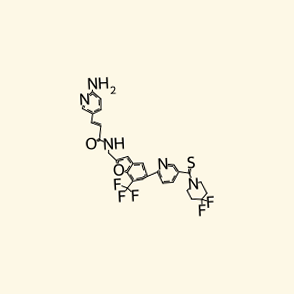 Nc1ccc(C=CC(=O)NCc2cc3cc(-c4ccc(C(=S)N5CCC(F)(F)CC5)cn4)cc(C(F)(F)F)c3o2)cn1